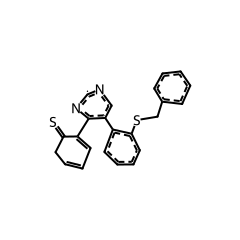 S=C1CC=CC=C1c1n[c]ncc1-c1ccccc1SCc1ccccc1